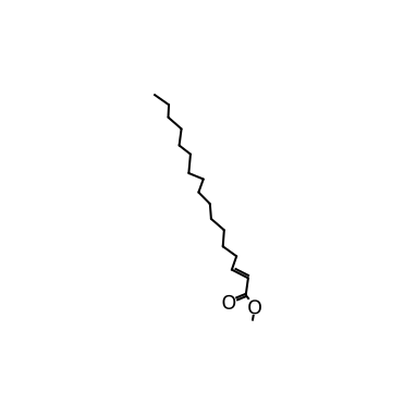 CCCCCCCCCCCCCCC=CC(=O)OC